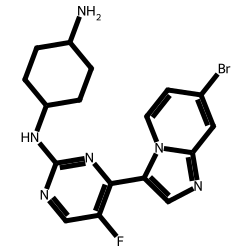 NC1CCC(Nc2ncc(F)c(-c3cnc4cc(Br)ccn34)n2)CC1